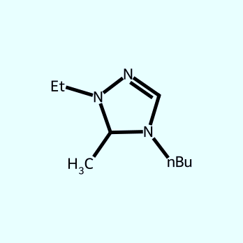 CCCCN1C=NN(CC)C1C